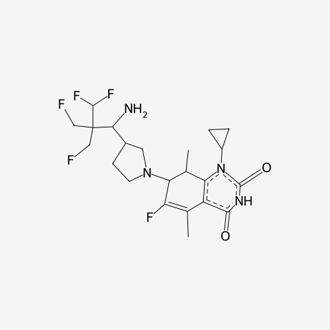 CC1=C(F)C(N2CCC(C(N)C(CF)(CF)C(F)F)C2)C(C)c2c1c(=O)[nH]c(=O)n2C1CC1